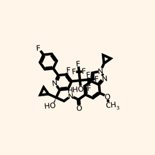 COc1cc(C(=O)NC[C@](O)(c2cc(C(O)(C(F)(F)F)C(F)(F)F)c(F)c(-c3ccc(F)cc3)n2)C2CC2)cc2cn(C3CC3)nc12